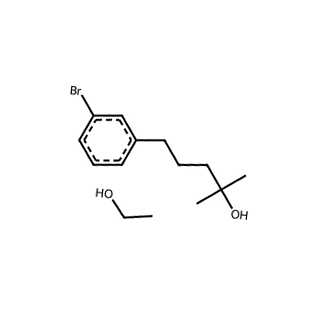 CC(C)(O)CCCc1cccc(Br)c1.CCO